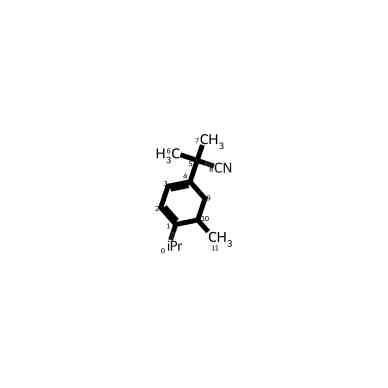 CC(C)C1=CC=C(C(C)(C)C#N)CC1C